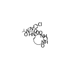 CC(C)C(=O)N1CCN(c2ccc(Cl)cc2)[C@@H](C(=O)NC2/C=C/CCCCC(=O)Nc3ccccc3NC(=O)C2=O)C1